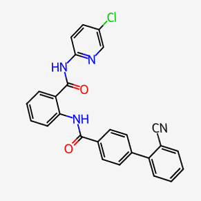 N#Cc1ccccc1-c1ccc(C(=O)Nc2ccccc2C(=O)Nc2ccc(Cl)cn2)cc1